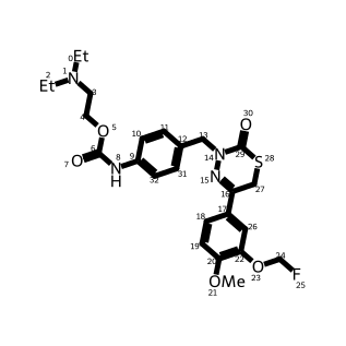 CCN(CC)CCOC(=O)Nc1ccc(CN2N=C(c3ccc(OC)c(OCF)c3)CSC2=O)cc1